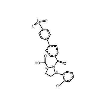 CS(=O)(=O)c1ccc(-c2ccc(C(=O)N3[C@@H](c4ccccc4Cl)CC[C@H]3C(=O)O)cc2)cc1